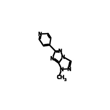 Cn1ncn2nc(-c3ccncc3)nc12